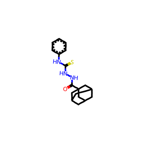 O=C(NNC(=S)Nc1ccccc1)C12CC3CC(CC(C3)C1)C2